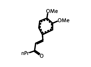 CCCC(=O)C=Cc1ccc(OC)c(OC)c1